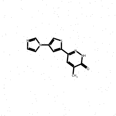 Cc1cc(-c2cc(-n3ccnc3)cs2)n[nH]c1=O